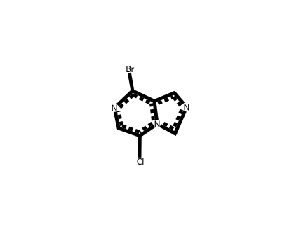 Clc1cnc(Br)c2cncn12